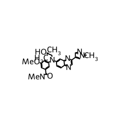 CNC(=O)c1cc(OC)cc(N(CC(C)(C)O)c2ccc3ncc(-c4cnn(C)c4)nc3c2)c1